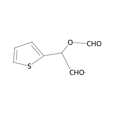 O=[C]C(OC=O)c1cccs1